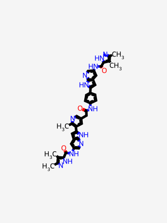 Cc1ncc(CC(=O)Nc2ccc(-c3cc4cc(NC(=O)c5[nH]nc(C)c5C)cnc4[nH]3)cc2)cc1-c1cc2cc(NC(=O)c3[nH]nc(C)c3C)cnc2[nH]1